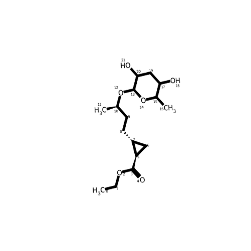 CCOC(=O)[C@@H]1C[C@H]1CC[C@@H](C)OC1OC(C)C(O)CC1O